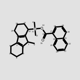 CC1C2=C(CCCC2)C2=C1[CH]([Ti]([CH3])([CH3])[O]C(=O)c1cccc3ccccc13)CCC2